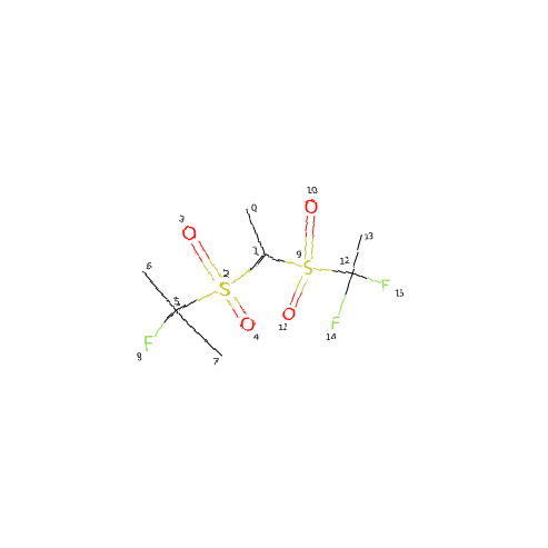 CC(S(=O)(=O)C(C)(C)F)S(=O)(=O)C(C)(F)F